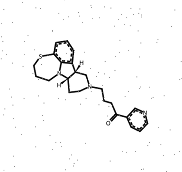 O=C(CCCN1CC[C@H]2[C@@H](C1)c1cccc3c1N2CCCS3)c1cccnc1